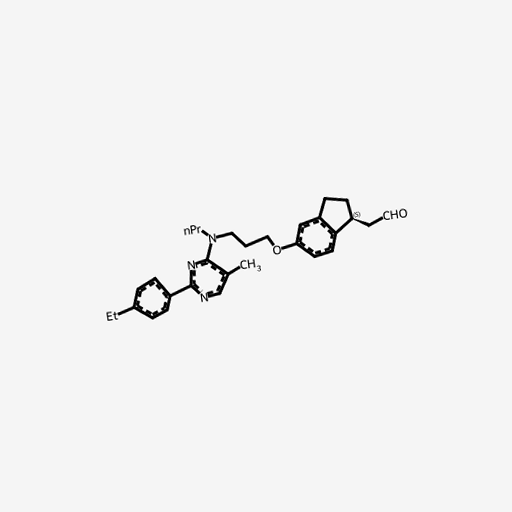 CCCN(CCCOc1ccc2c(c1)CC[C@H]2CC=O)c1nc(-c2ccc(CC)cc2)ncc1C